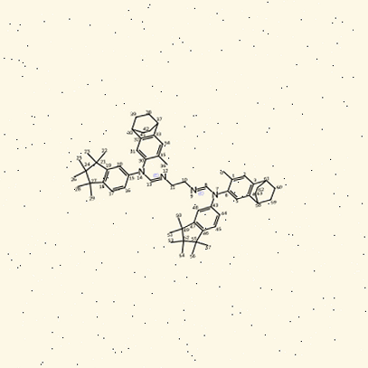 Cc1cc2c(cc1N(/C=N/CC/N=C/N(c1ccc3c(c1)C(C)(C)C(C)(C)C3(C)C)c1cc3c(cc1C)C1CCC3CC1)c1ccc3c(c1)C(C)(C)C(C)(C)C3(C)C)C1CCC2CC1